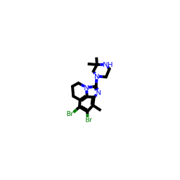 Cc1c(Br)c(Br)c2c3c1nc(N1CCNC(C)(C)C1)n3CCC2